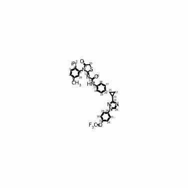 Cc1ccc(C(C)C)c(N2C(=O)CS/C2=N\C(=O)Nc2ccc([C@@H]3CC3c3ncn(-c4ccc(OC(F)(F)F)cc4)n3)cc2)c1